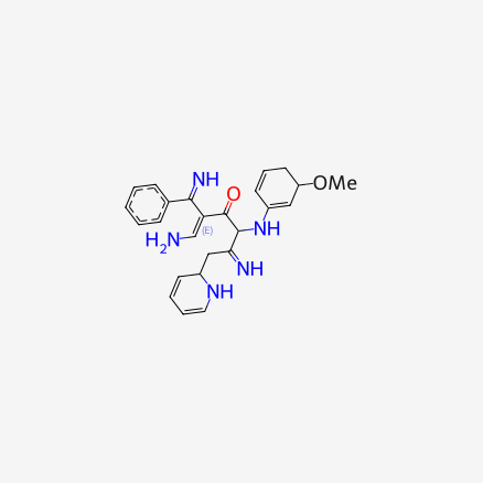 COC1C=C(NC(C(=N)CC2C=CC=CN2)C(=O)/C(=C/N)C(=N)c2ccccc2)C=CC1